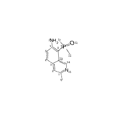 Cc1cc2ccc(N)c(P(C)(C)=O)c2cn1